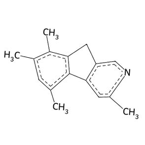 Cc1cc2c(cn1)Cc1c(C)c(C)cc(C)c1-2